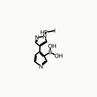 OB(O)c1cnccc1-c1cnn(PI)c1